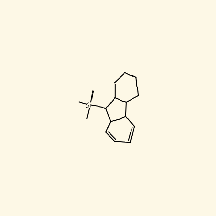 C[Si](C)(C)C1C2C=CC=CC2C2CCCCC21